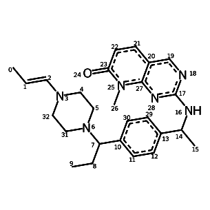 CC=CN1CCN(C(CC)c2ccc(C(C)Nc3ncc4ccc(=O)n(C)c4n3)cc2)CC1